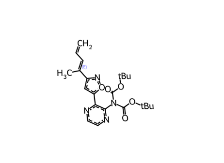 C=C/C=C(\C)c1cc(-c2nccnc2N(C(=O)OC(C)(C)C)C(=O)OC(C)(C)C)on1